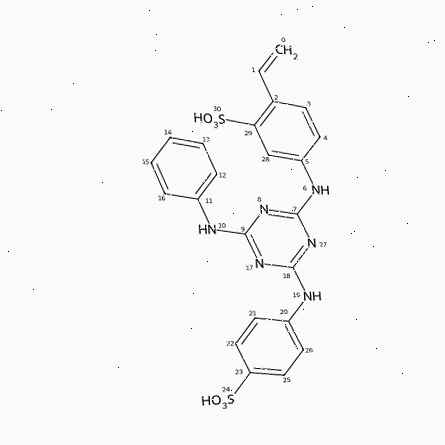 C=Cc1ccc(Nc2nc(Nc3ccccc3)nc(Nc3ccc(S(=O)(=O)O)cc3)n2)cc1S(=O)(=O)O